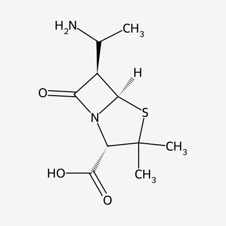 CC(N)[C@@H]1C(=O)N2[C@@H]1SC(C)(C)[C@@H]2C(=O)O